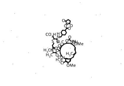 COc1cc2cc(c1Cl)N(C)C(=O)CC(OC(=O)C(C)N(C)C(=O)CCSC(CC(=O)O)C(=O)NCC1CCC(C(=O)ON3C(=O)CCC3=O)CC1)C1(C)OC1C(C)C1CC(O)(NC(=O)O1)C(OC)/C=C/C=C(\C)C2